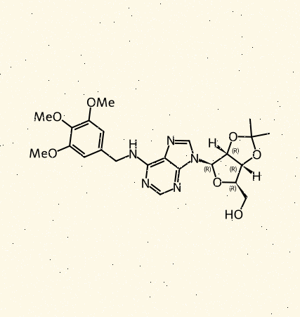 COc1cc(CNc2ncnc3c2ncn3[C@@H]2O[C@H](CO)[C@H]3OC(C)(C)O[C@H]32)cc(OC)c1OC